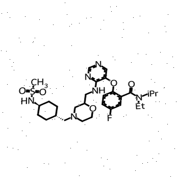 CCN(C(=O)c1cc(F)ccc1Oc1cncnc1NCC1CN(C[C@H]2CC[C@H](NS(C)(=O)=O)CC2)CCO1)C(C)C